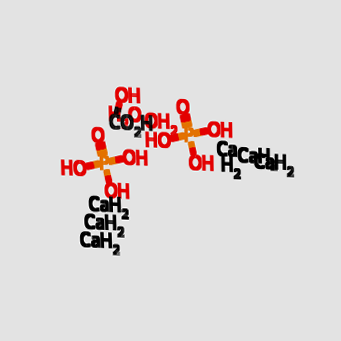 O.O.O=C(O)O.O=P(O)(O)O.O=P(O)(O)O.[CaH2].[CaH2].[CaH2].[CaH2].[CaH2].[CaH2]